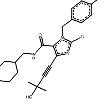 Cc1ccc(Cn2c(Cl)nc(C#CC(C)(C)O)c2C(=O)NCC2CCCCC2)cc1